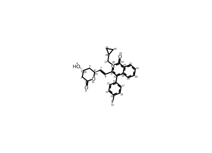 O=C1C[C@H](O)C[C@@H](C=Cc2c(-c3ccc(F)cc3)c3ccccc3c(=O)n2CC2CC2)O1